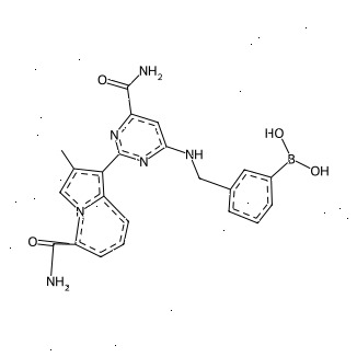 Cc1cn2c(C(N)=O)cccc2c1-c1nc(NCc2cccc(B(O)O)c2)cc(C(N)=O)n1